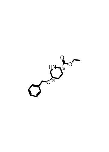 CCOC(=O)[C@@H]1CC[C@@H](OCc2ccccc2)CN1